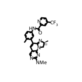 CNc1ncc2c(n1)N1C[C@H](C)N=C1C(c1cc(NC(=O)c3cc(C(F)(F)F)ccn3)ccc1C)=C2